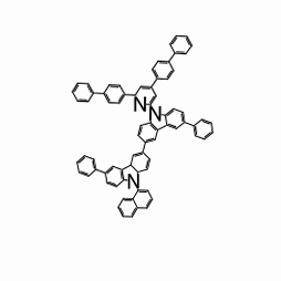 C1=CC2C(C=C1c1ccc3c(c1)c1cc(-c4ccccc4)ccc1n3-c1cc(-c3ccc(-c4ccccc4)cc3)cc(-c3ccc(-c4ccccc4)cc3)n1)c1cc(-c3ccccc3)ccc1N2c1cccc2ccccc12